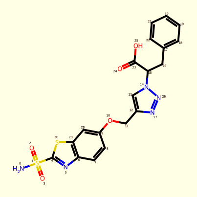 NS(=O)(=O)c1nc2ccc(OCc3cn(C(Cc4ccccc4)C(=O)O)nn3)cc2s1